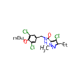 CCCCOc1c(Cl)cc(CNC(=O)c2c(Cl)c(CC)nn2C)cc1Cl